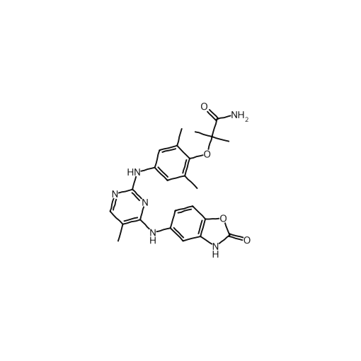 Cc1cnc(Nc2cc(C)c(OC(C)(C)C(N)=O)c(C)c2)nc1Nc1ccc2oc(=O)[nH]c2c1